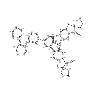 O=C1c2cc3c(cc2CC12CCCC2)c1cc(-c2ccc4c5ccccc5c5ccccc5c4c2)cc2c4cc5c(cc4n3c12)C(=O)C1(CCCC1)C5